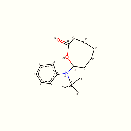 C[Si](C)(C)N(c1ccccc1)C1CCCCCC(=O)O1